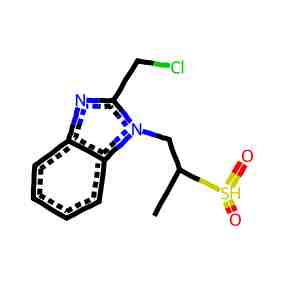 CC(Cn1c(CCl)nc2ccccc21)[SH](=O)=O